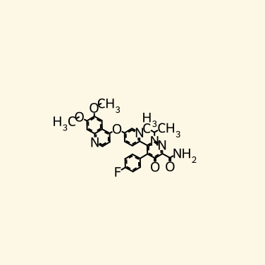 COc1cc2nccc(Oc3ccc(-c4c(-c5ccc(F)cc5)c(=O)c(C(N)=O)nn4C(C)C)nc3)c2cc1OC